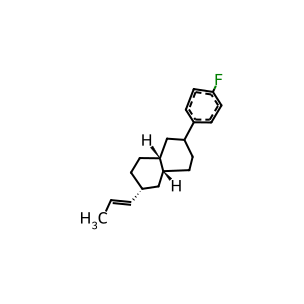 CC=C[C@@H]1CC[C@@H]2CC(c3ccc(F)cc3)CC[C@@H]2C1